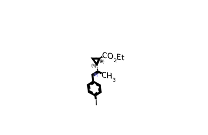 CCOC(=O)[C@@H]1C[C@H]1/C(C)=C/c1ccc(I)cc1